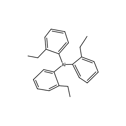 CCc1cccc[c]1[Al]([c]1ccccc1CC)[c]1ccccc1CC